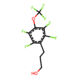 OCCCc1c(F)c(F)c(OC(F)(F)F)c(F)c1F